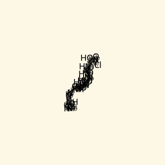 CC(=O)N1CC(CCl)c2c1cc(O)c1ccc(C(=O)Nc3cc(C(=O)Nc4cn(C)c(C(=O)Nc5cn(C)c(C(=O)Nc6cn(C)c(C(=O)NCCCN7CCN(CCCNc8ccc9ncn%10c%11ccccc%11c(=O)c8c9%10)CC7)n6)c5O)n4)n(C)c3)cc21